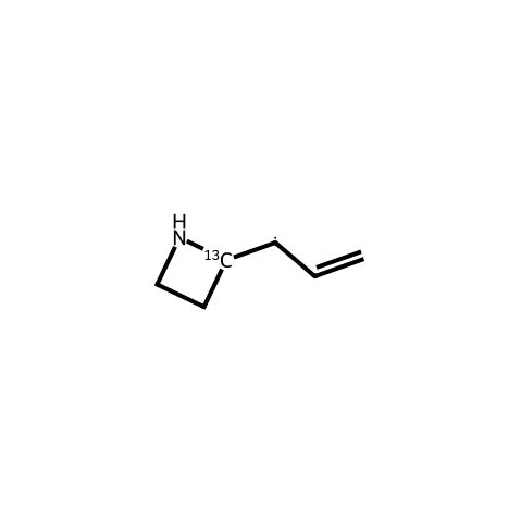 C=C[CH][13CH]1CCN1